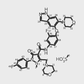 CS(=O)(=O)O.Cn1c(CN2CCOCC2)c(C(=O)Nc2ccc(Oc3cc4cn[nH]c4cc3N3CCOCC3)c(F)c2)c(=O)n1-c1ccc(F)cc1